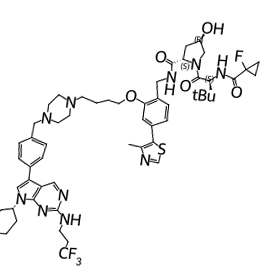 Cc1ncsc1-c1ccc(CNC(=O)[C@@H]2C[C@@H](O)CN2C(=O)[C@@H](NC(=O)C2(F)CC2)C(C)(C)C)c(OCCCCN2CCN(Cc3ccc(-c4cn([C@H]5CC[C@H](O)CC5)c5nc(NCCC(F)(F)F)ncc45)cc3)CC2)c1